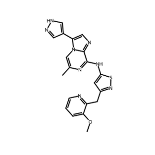 COc1cccnc1Cc1cc(Nc2nc(C)cn3c(-c4cn[nH]c4)cnc23)sn1